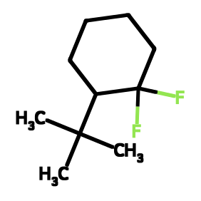 CC(C)(C)C1CCCCC1(F)F